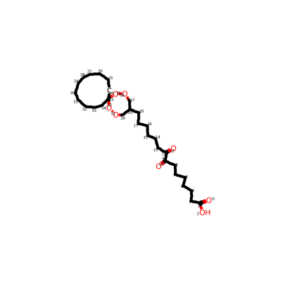 O=C(O)CCCCCCC(=O)C(=O)CCCCCCC1COOC2(CCCCCCCCCCC2)OOC1